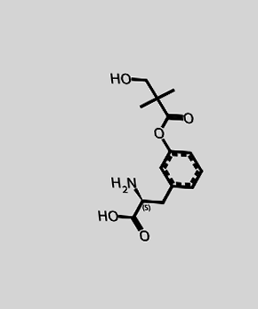 CC(C)(CO)C(=O)Oc1cccc(C[C@H](N)C(=O)O)c1